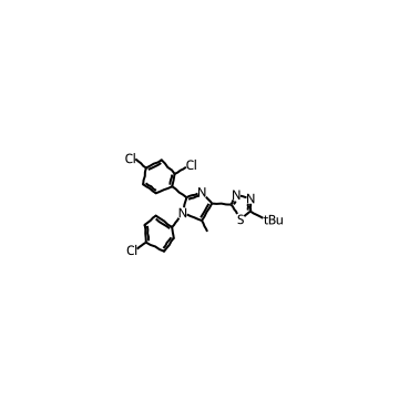 Cc1c(-c2nnc(C(C)(C)C)s2)nc(-c2ccc(Cl)cc2Cl)n1-c1ccc(Cl)cc1